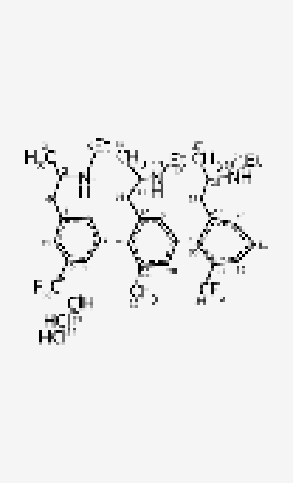 CCNC(C)Cc1cccc(C(F)(F)F)c1.CCNC(C)Cc1cccc(C(F)(F)F)c1.CCNC(C)Cc1cccc(C(F)(F)F)c1.Cl.Cl.Cl